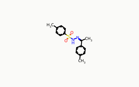 CC(=NNS(=O)(=O)c1ccc(C)cc1)c1ccc(C)cc1